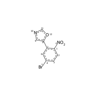 O=[N+]([O-])c1ccc(Br)cc1-c1cnco1